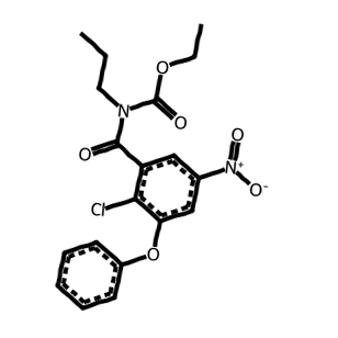 CCCN(C(=O)OCC)C(=O)c1cc([N+](=O)[O-])cc(Oc2ccccc2)c1Cl